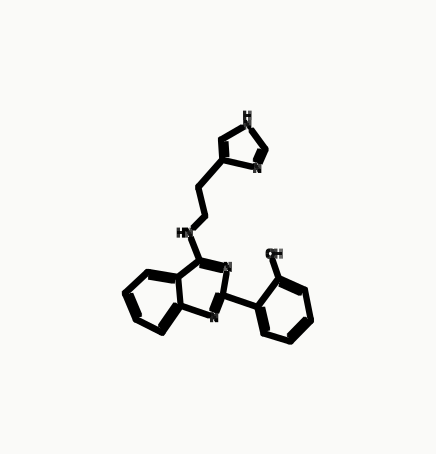 Oc1ccccc1-c1nc(NCCc2c[nH]cn2)c2ccccc2n1